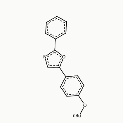 CCCCOc1ccc(-c2cnc(-c3ccccc3)o2)cc1